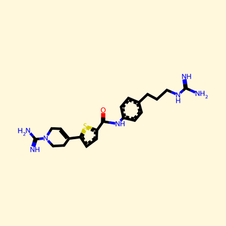 N=C(N)NCCCc1ccc(NC(=O)c2ccc(C3=CCN(C(=N)N)CC3)s2)cc1